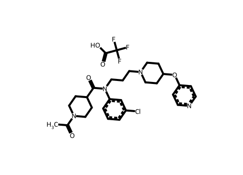 CC(=O)N1CCC(C(=O)N(CCCN2CCC(Oc3ccncc3)CC2)c2cccc(Cl)c2)CC1.O=C(O)C(F)(F)F